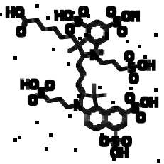 CC1(CCCCCC(=O)O)C(/C=C/C=C2/N(CCCS(=O)(=O)O)c3ccc4c(S(=O)(=O)O)cc(S(=O)(=O)O)cc4c3C2(C)C)=[N+](CCCS(=O)(=O)O)c2cc(S(=O)(=O)O)cc(S(=O)(=O)O)c21